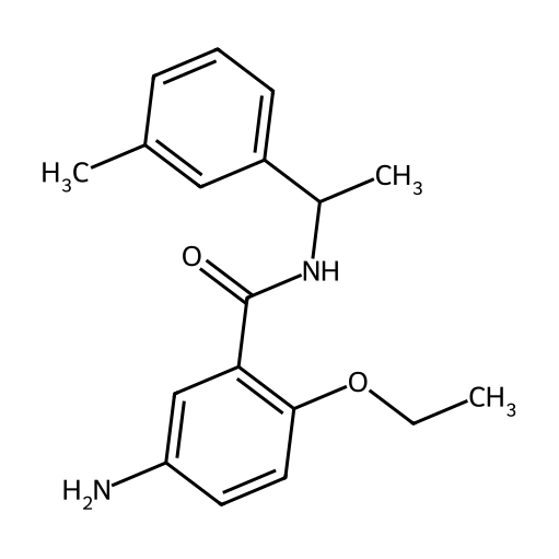 CCOc1ccc(N)cc1C(=O)NC(C)c1cccc(C)c1